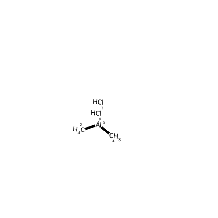 Cl.Cl.[CH3][Al][CH3]